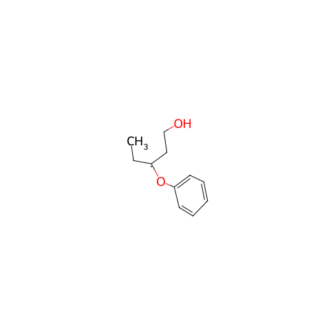 CC[C](CCO)Oc1ccccc1